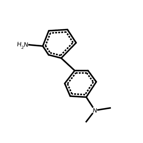 CN(C)c1ccc(-c2cccc(N)c2)cc1